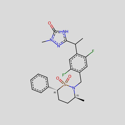 CC(c1nn(C)c(=O)[nH]1)c1cc(F)c(CN2[C@@H](C)CC[C@H](c3ccccc3)S2(=O)=O)cc1F